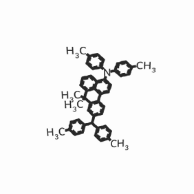 Cc1ccc(C(c2ccc(C)cc2)c2ccc3c(c2)C(C)(C)c2cccc4c(N(c5ccc(C)cc5)c5ccc(C)cc5)ccc-3c24)cc1